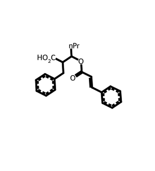 CCCC(OC(=O)/C=C/c1ccccc1)C(Cc1ccccc1)C(=O)O